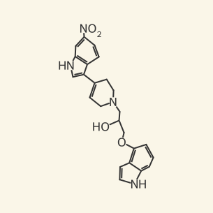 O=[N+]([O-])c1ccc2c(C3=CCN(CC(O)COc4cccc5[nH]ccc45)CC3)c[nH]c2c1